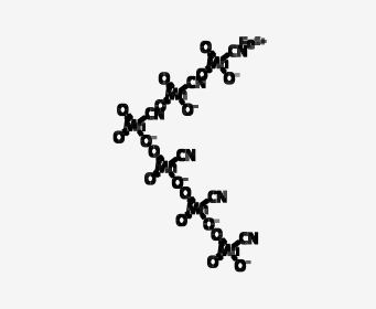 N#[C][Mn](=[O])(=[O])[O-].N#[C][Mn](=[O])(=[O])[O-].N#[C][Mn](=[O])(=[O])[O-].N#[C][Mn](=[O])(=[O])[O-].N#[C][Mn](=[O])(=[O])[O-].N#[C][Mn](=[O])(=[O])[O-].[Fe+6]